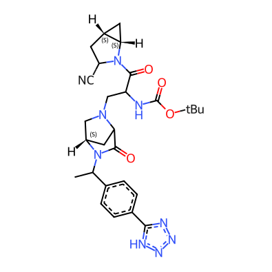 CC(c1ccc(-c2nnn[nH]2)cc1)N1C(=O)C2C[C@H]1CN2CC(NC(=O)OC(C)(C)C)C(=O)N1C(C#N)C[C@@H]2C[C@@H]21